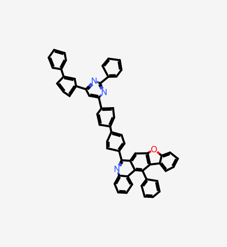 c1ccc(-c2cccc(-c3cc(-c4ccc(-c5ccc(-c6nc7ccccc7c7c(-c8ccccc8)c8c(cc67)oc6ccccc68)cc5)cc4)nc(-c4ccccc4)n3)c2)cc1